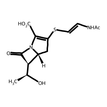 CC(=O)NC=CSC1=C(C(=O)O)N2C(=O)[C@H]([C@H](C)O)[C@H]2C1